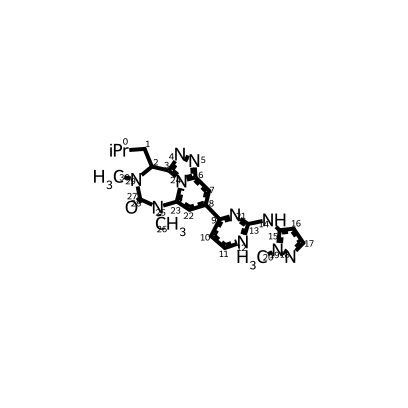 CC(C)CC1c2nnc3cc(-c4ccnc(Nc5ccnn5C)n4)cc(n23)N(C)C(=O)N1C